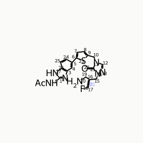 CC(=O)Nc1nc2cc(-c3ccc(Cn4cnn(C/C(=C/F)CN)c4=O)s3)ccc2[nH]1